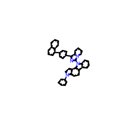 c1ccc(-n2ccc3c2ccc2c4ccccc4n(-c4nc(-c5ccc(-c6cccc7ccccc67)cc5)c5ccccn45)c23)cc1